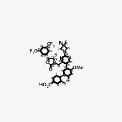 COc1cc(F)c(-c2ccc(C(=O)O)cc2C)cc1-c1cnc(N2CC(F)(F)C2)nc1CN1C(=O)O[C@H](c2cc(C(F)(F)F)cc(C(F)(F)F)c2)[C@@H]1C